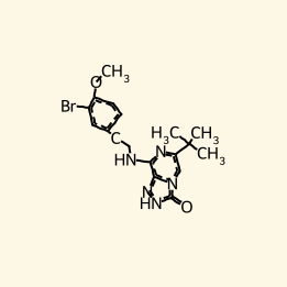 COc1ccc(CCNc2nc(C(C)(C)C)cn3c(=O)[nH]nc23)cc1Br